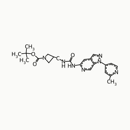 Cc1cc(-n2ncc3cc(NC(=O)NCC4CN(C(=O)OC(C)(C)C)C4)ncc32)ccn1